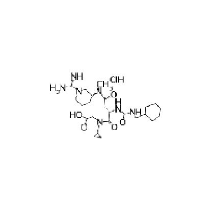 CN(C(=O)C[C@H](NC(=O)NCC1CCCCC1)C(=O)N(CC(=O)O)C1CC1)[C@H]1CCCN(C(=N)N)C1.Cl